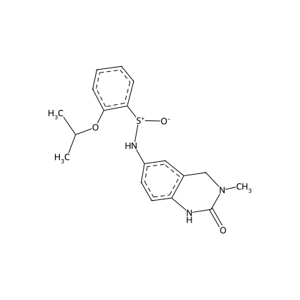 CC(C)Oc1ccccc1[S+]([O-])Nc1ccc2c(c1)CN(C)C(=O)N2